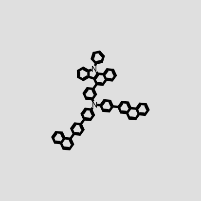 c1ccc(-n2c3ccccc3c3c(-c4cccc(N(c5ccc(-c6ccc(-c7cccc8ccccc78)cc6)cc5)c5ccc(-c6ccc7c(ccc8ccccc87)c6)cc5)c4)cc4ccccc4c32)cc1